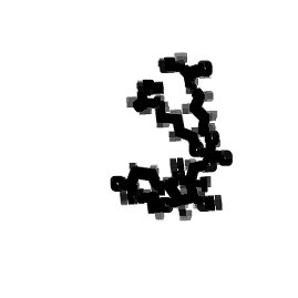 C=C1NC(=O)C=CN1[C@@H]1N[C@](F)(COP(=O)(OCCCCSC(=C)C(C)(C)C)OCCCCSC(=O)C(C)(C)C)[C@@H](O)[C@@]1(C)O